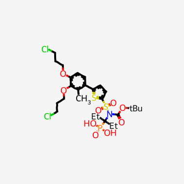 CCC(CC)(N(C(=O)OC(C)(C)C)S(=O)(=O)c1ccc(-c2ccc(OCCCCl)c(OCCCCl)c2C)s1)P(=O)(O)O